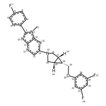 Cn1c(-c2ccc(F)cn2)nc2ncc(N3C[C@@H]4[C@H](COc5cc(F)cc(F)c5)[C@@H]4C3)nc21